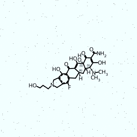 CN(C)[C@@H]1C(O)=C(C(N)=O)C(=O)[C@@]2(O)C(O)=C3C(=O)c4c(O)c5c(c(F)c4C[C@H]3C[C@@H]12)CN(CCCO)C5